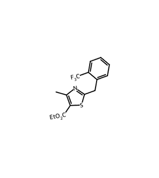 CCOC(=O)c1sc(Cc2ccccc2C(F)(F)F)nc1C